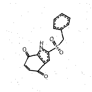 O=C1C=CC(=O)c2[nH]c(S(=O)(=O)Cc3ccccc3)cc21